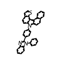 c1ccc(-n2c(-c3ccc(-n4c5ccc6ccccc6c5c5c6sccc6ccc54)cc3)nc3ccccc32)cc1